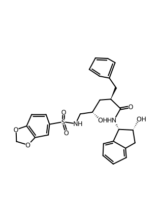 O=C(N[C@H]1c2ccccc2C[C@H]1O)[C@H](Cc1ccccc1)C[C@H](O)CNS(=O)(=O)c1ccc2c(c1)OCO2